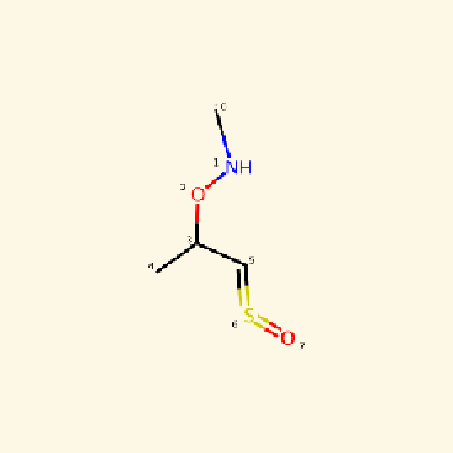 [CH2]NOC(C)C=S=O